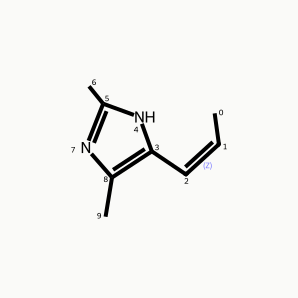 C/C=C\c1[nH]c(C)nc1C